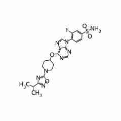 CC(C)c1noc(N2CCC(Oc3ncnc4c3ncn4-c3ccc(S(N)(=O)=O)cc3F)CC2)n1